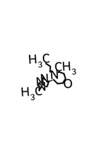 CCCCN1[C@@H](C)CC2OC2C[C@H]1C1CN(C)N=N1